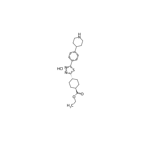 CCOC(=O)[C@H]1CC[C@H](c2nnc(-c3ccc(C4CCNCC4)cc3)s2)CC1.Cl